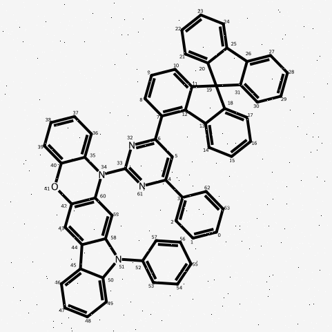 c1ccc(-c2cc(-c3cccc4c3-c3ccccc3C43c4ccccc4-c4ccccc43)nc(N3c4ccccc4Oc4cc5c6ccccc6n(-c6ccccc6)c5cc43)n2)cc1